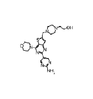 Nc1ncc(-c2nc(N3CCOCC3)c3sc(CN4CCN(CCO)CC4)cc3n2)cn1